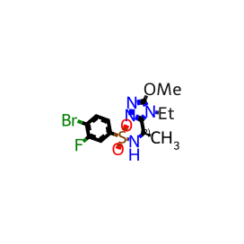 CCn1c(OC)nnc1[C@@H](C)NS(=O)(=O)c1ccc(Br)c(F)c1